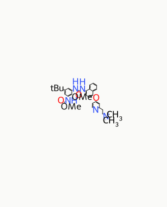 COC(=O)Nc1cc(C(C)(C)C)cc(NC(=O)Nc2ccc(Oc3ccnc(CCN(C)C)c3)c3ccccc23)c1OC